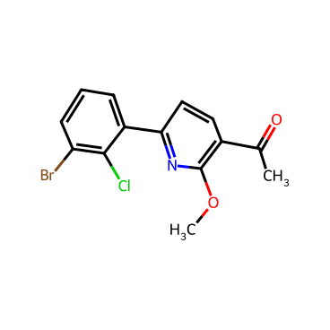 COc1nc(-c2cccc(Br)c2Cl)ccc1C(C)=O